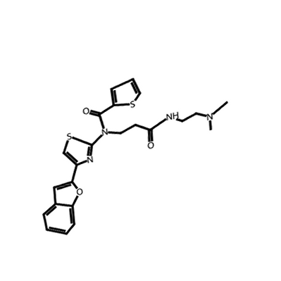 CN(C)CCNC(=O)CCN(C(=O)c1cccs1)c1nc(-c2cc3ccccc3o2)cs1